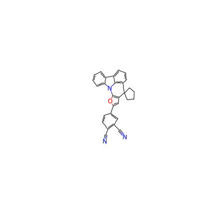 N#Cc1ccc(-c2cc3c(o2)-n2c4ccccc4c4cccc(c42)C32CCCC2)cc1C#N